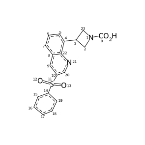 O=C(O)N1CC(c2cccc3cc(S(=O)(=O)c4ccccc4)cnc23)C1